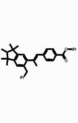 CC(=Cc1ccc(C(=O)OC(C)C)cc1)c1cc2c(cc1CC(C)C)C(C)(C)C(C)C2(C)C